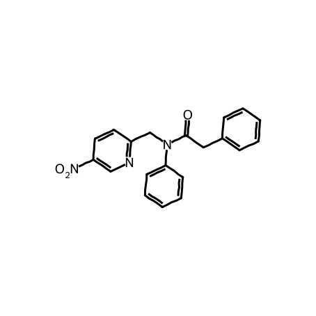 O=C(Cc1ccccc1)N(Cc1ccc([N+](=O)[O-])cn1)c1ccccc1